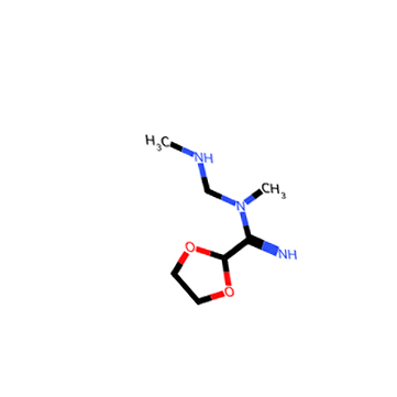 CNCN(C)C(=N)C1OCCO1